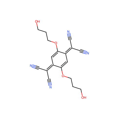 N#CC(C#N)=c1cc(OCCCO)c(=C(C#N)C#N)cc1OCCCO